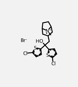 C[N+]1(C)C2CCC1CC(CC(O)(c1ccc(Cl)s1)c1ccc(Cl)s1)C2.[Br-]